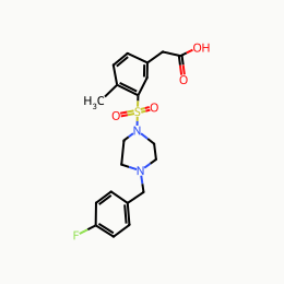 Cc1ccc(CC(=O)O)cc1S(=O)(=O)N1CCN(Cc2ccc(F)cc2)CC1